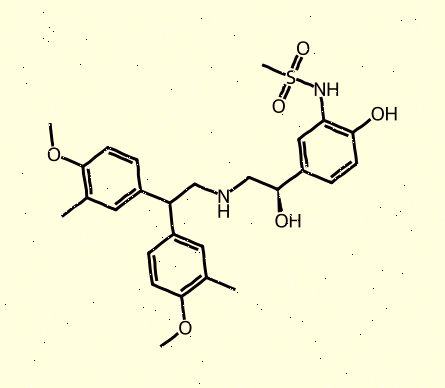 COc1ccc(C(CNC[C@H](O)c2ccc(O)c(NS(C)(=O)=O)c2)c2ccc(OC)c(C)c2)cc1C